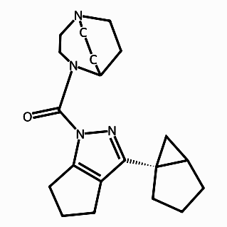 O=C(N1CCN2CCC1CC2)n1nc([C@@]23CCCC2C3)c2c1CCC2